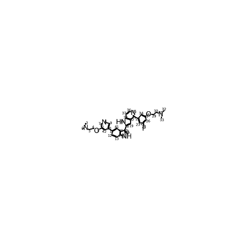 CN(C)CCOc1cncc(-c2ccc3[nH]nc(-c4cc5c(-c6cc(F)cc(OCCN(C)C)c6)nccc5[nH]4)c3c2)c1